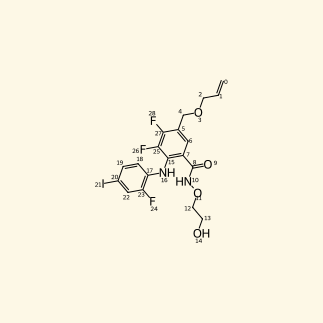 C=CCOCc1cc(C(=O)NOCCO)c(Nc2ccc(I)cc2F)c(F)c1F